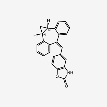 O=c1[nH]c2cc(C=C3c4ccccc4[C@H]4C[C@H]4c4ccccc43)ccc2o1